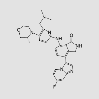 C[C@@H]1COCCN1c1ccc(Nc2ccc(-c3cnc4cc(F)ccn34)c3c2C(=O)NC3)nc1CN(C)C